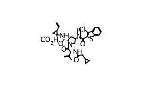 C=CC1CC1(NC(=O)[C@@H]1C[C@@H](NC(=O)c2sc3ccccc3c2Cl)CN1C(=O)[C@@H](NC(=O)CC1CC1)C(=C)C)C(=O)O